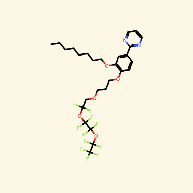 CCCCCCCCOc1cc(-c2ncccn2)ccc1OCCCOCC(F)(F)OC(F)(F)C(F)(F)OC(F)(F)C(F)(F)F